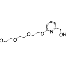 COCCOCCOCCOc1cccc(CO)n1